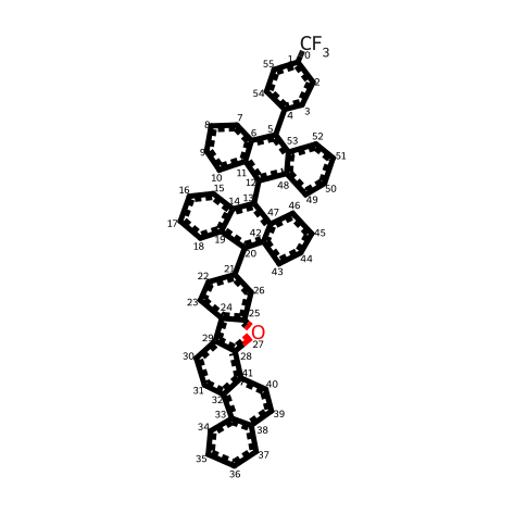 FC(F)(F)c1ccc(-c2c3ccccc3c(-c3c4ccccc4c(-c4ccc5c(c4)oc4c5ccc5c6ccccc6ccc54)c4ccccc34)c3ccccc23)cc1